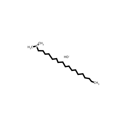 CCCCCCCCCCCCCCCCCC[S+](C)C.[OH-]